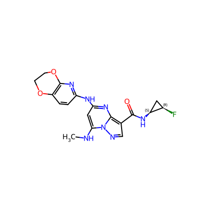 CNc1cc(Nc2ccc3c(n2)OCCO3)nc2c(C(=O)N[C@H]3C[C@H]3F)cnn12